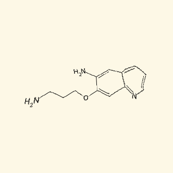 NCCCOc1cc2ncccc2cc1N